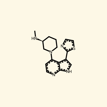 CN[C@H]1CCCN(c2ccnc3[nH]cc(-c4nccs4)c23)C1